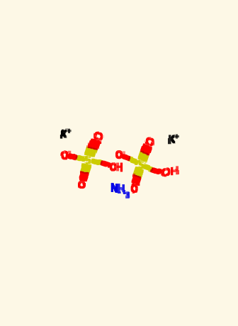 N.O=S(=O)([O-])O.O=S(=O)([O-])O.[K+].[K+]